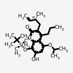 C=C[C@H](C)Cc1c(CCC)c2c(OC(C)C)cc(O)c(O[Si](C)(C)C(C)(C)C)c2oc1=O